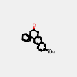 CCC(C)c1ccc2cc3c(cc2c1)CC(=O)CC31CC2=CCC1C2